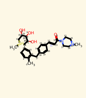 Cc1ccc([C@H]2[C@H](O)[C@H](O)[C@H](O)C[SH]2C)cc1Cc1ccc(/C=C/C(=O)N2CCN(C)CC2)cc1